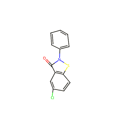 O=c1c2cc(Cl)ccc2sn1-c1ccccc1